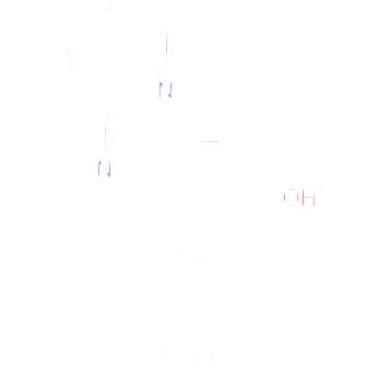 OCc1c(-c2ccccc2)nc2sccn12